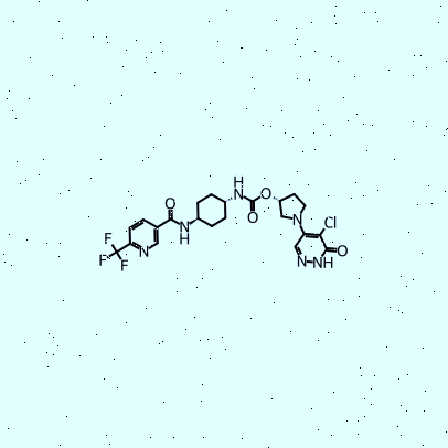 O=C(N[C@H]1CC[C@H](NC(=O)c2ccc(C(F)(F)F)nc2)CC1)O[C@@H]1CCN(c2cn[nH]c(=O)c2Cl)C1